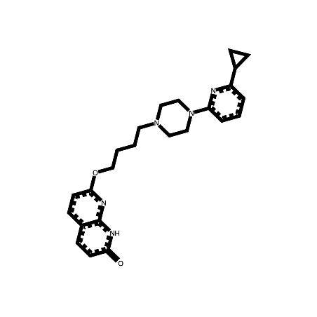 O=c1ccc2ccc(OCCCCN3CCN(c4cccc(C5CC5)n4)CC3)nc2[nH]1